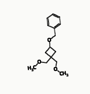 COCC1(COC)CC(OCc2ccccc2)C1